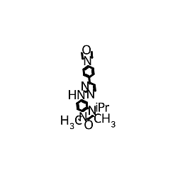 CC(C)N1c2cc(Nc3nccc(-c4ccc(N5CCOCC5)cc4)n3)ccc2N(C)C(=O)[C@H]1C